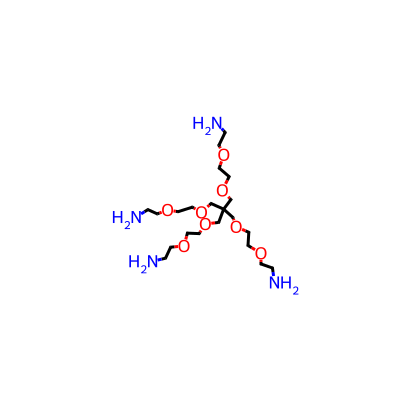 NCCOCCOCC(COCCOCCN)(COCCOCCN)COCCOCCN